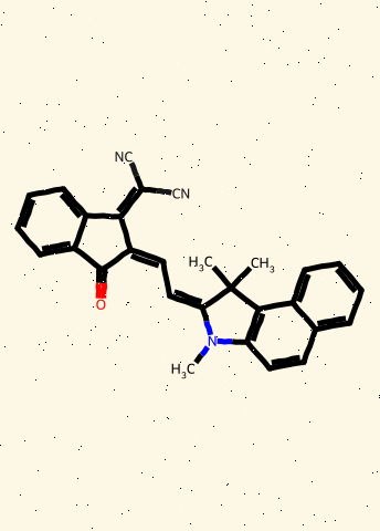 CN1/C(=C/C=C2\C(=O)c3ccccc3C2=C(C#N)C#N)C(C)(C)c2c1ccc1ccccc21